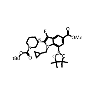 COC(=O)c1cc(B2OC(C)(C)C(C)(C)O2)c2c(c1)c(F)c([C@@H]1CCCN(C(=O)OC(C)(C)C)C1)n2CC1CC1